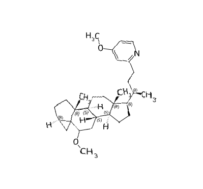 COc1ccnc(CC[C@@H](C)[C@H]2CC[C@H]3[C@@H]4CC(OC)C56C[C@H]5CC[C@]6(C)[C@H]4CC[C@]23C)c1